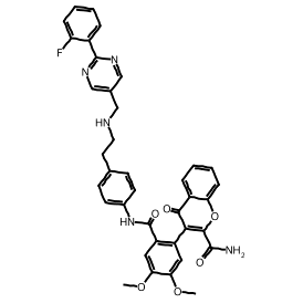 COc1cc(C(=O)Nc2ccc(CCNCc3cnc(-c4ccccc4F)nc3)cc2)c(-c2c(C(N)=O)oc3ccccc3c2=O)cc1OC